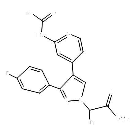 COC(=O)C(C(C)C)n1cc(-c2ccnc(NC(=O)C(C)C)c2)c(-c2ccc(F)cc2)n1